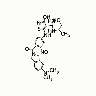 CC(CO)NC(=N)c1c(O)nsc1Nc1ccc(C(=O)N2Cc3ccc(N(C)C)cc3C2)c(N=O)c1